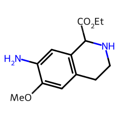 CCOC(=O)C1NCCc2cc(OC)c(N)cc21